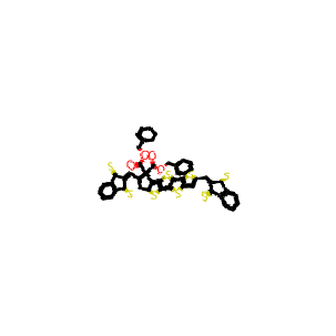 O=C(OCc1ccccc1)C1(C(=O)OCc2ccccc2)C(C=C2C(=S)c3ccccc3C2=S)=Cc2sc3c(sc4c5sc(C=C6C(=S)c7ccccc7C6=S)cc5sc34)c21